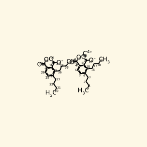 CCCCc1ccc(C(=O)[O-])c(C(=O)[O-])c1CCCC.CCCCc1ccc(C(=O)[O-])c(C(=O)[O-])c1CCCC.[C+4]